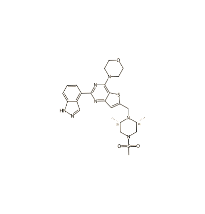 C[C@@H]1CN(S(C)(=O)=O)C[C@H](C)N1Cc1cc2nc(-c3cccc4[nH]ncc34)nc(N3CCOCC3)c2s1